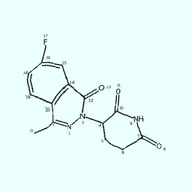 Cc1nn(C2CCC(=O)NC2=O)c(=O)c2cc(F)ccc12